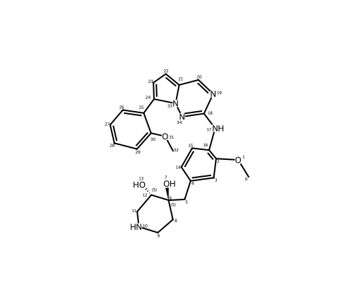 COc1cc(C[C@]2(O)CCNC[C@@H]2O)ccc1Nc1ncc2ccc(-c3ccccc3OC)n2n1